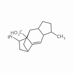 CC(C)C1CC2CC3C4CCC(C)C4C=C2C13C(=O)O